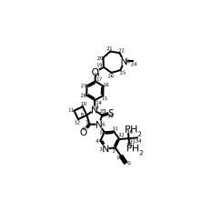 C#Cc1ncc(N2C(=O)C3(CCC3)N(c3ccc(OC4CCCN(C)CC4)cc3)C2=S)cc1C(C)(P)P